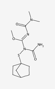 COC(=NC(=O)N(C)C)N(SC12CCC(CC1)C2)C(N)=O